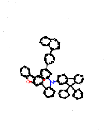 c1ccc(C2(c3ccccc3)c3ccccc3-c3ccc(N(c4cccc(-c5ccc(-c6cccc7ccccc67)cc5)c4)c4ccccc4-c4ccc5c(c4)oc4ccccc45)cc32)cc1